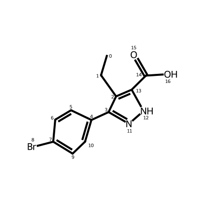 CCc1c(-c2ccc(Br)cc2)n[nH]c1C(=O)O